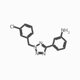 Nc1cccc(-c2nnn(Cc3cccc(Cl)c3)n2)c1